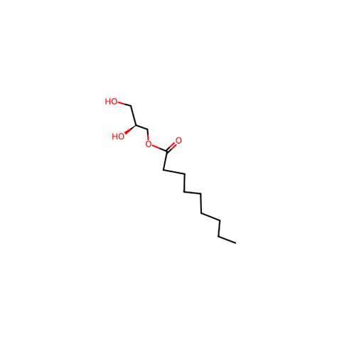 CCCCCCCCC(=O)OC[C@@H](O)CO